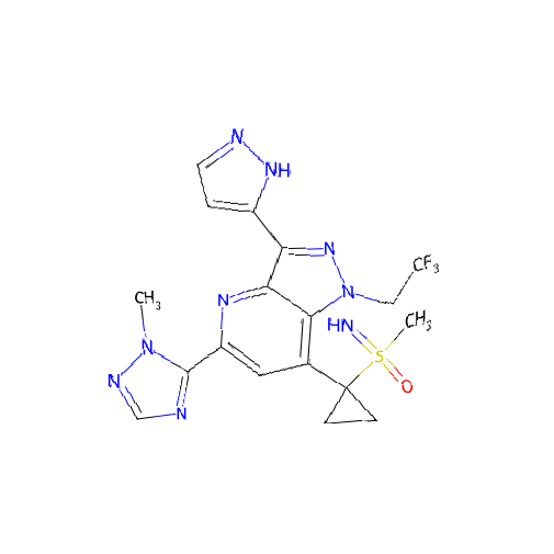 Cn1ncnc1-c1cc(C2(S(C)(=N)=O)CC2)c2c(n1)c(-c1ccn[nH]1)nn2CC(F)(F)F